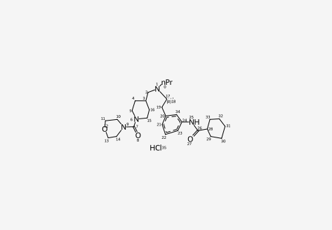 CCCN(CC1CCN(C(=O)N2CCOCC2)CC1)[C@H](C)Cc1cccc(NC(=O)C2CCCCC2)c1.Cl